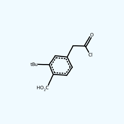 CC(C)(C)c1cc(CC(=O)Cl)ccc1C(=O)O